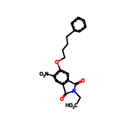 O=C(O)CN1C(=O)c2cc(OCCCCc3ccccc3)c([N+](=O)[O-])cc2C1=O